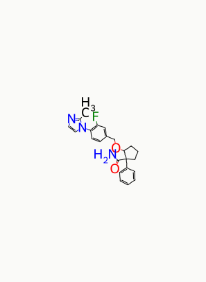 Cc1nccn1-c1ccc(COC2CCCC2(C(N)=O)c2ccccc2)cc1F